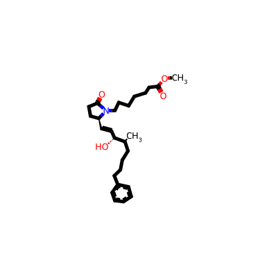 COC(=O)CCCCCCN1C(=O)CC[C@@H]1C=C[C@@H](O)[C@H](C)CCCCc1ccccc1